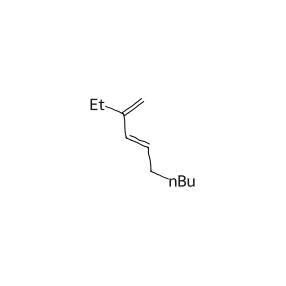 C=C(C=CCCCCC)CC